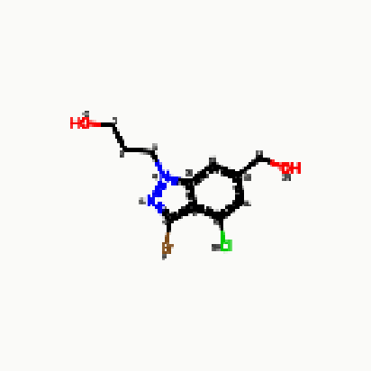 OCCCn1nc(Br)c2c(Cl)cc(CO)cc21